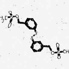 CS(=O)(=O)OCc1cccc(SSc2cccc(COS(C)(=O)=O)c2)c1